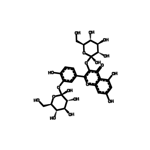 O=c1c(O[C@]2(O)O[C@@H](CO)[C@H](O)[C@@H](O)[C@@H]2O)c(-c2ccc(O)c(O[C@@]3(O)O[C@H](CO)[C@@H](O)[C@H](O)[C@H]3O)c2)oc2cc(O)cc(O)c12